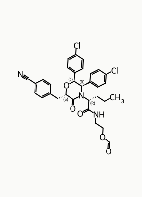 CCC[C@H](C(=O)NCCOC=O)N1C(=O)[C@H](Cc2ccc(C#N)cc2)O[C@@H](c2ccc(Cl)cc2)[C@H]1c1ccc(Cl)cc1